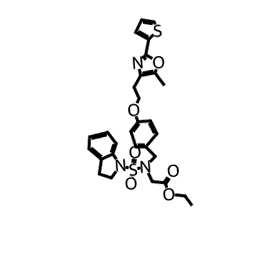 CCOC(=O)CN(Cc1ccc(OCCc2nc(-c3cccs3)oc2C)cc1)S(=O)(=O)N1CCc2ccccc21